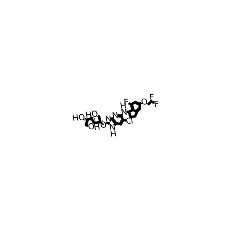 O[C@@H]1CO[C@H]2[C@@H]1OC[C@H]2Oc1nc2nc(NC3CCc4cc(OCC(F)F)cc(F)c43)c(Cl)cc2[nH]1